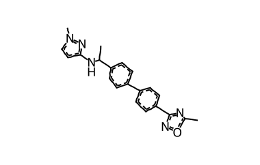 Cc1nc(-c2ccc(-c3ccc(C(C)Nc4ccn(C)n4)cc3)cc2)no1